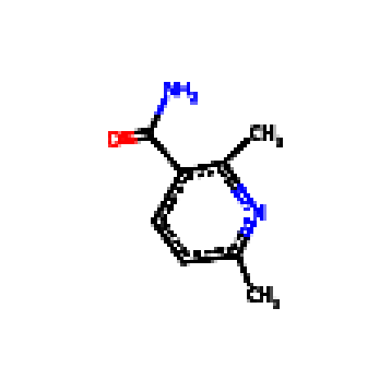 Cc1ccc(C(N)=O)c(C)n1